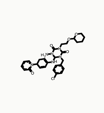 NN1C(=O)N(CCOC2CCCCO2)C(=O)N(Cc2ccc(Cl)cc2)C1NC1=CCC(n2ccccc2=O)C=C1